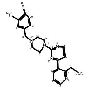 N#CCc1ncccc1-c1ccnc(N2CCN(Cc3ccc(F)c(F)c3)CC2)n1